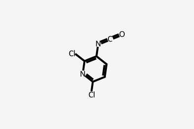 O=C=Nc1ccc(Cl)nc1Cl